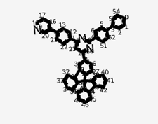 c1ccc(-c2ccc(-c3nc(-c4ccc(-c5cccnc5)cc4)cc(-c4ccc5c(c4)-c4ccccc4C54c5ccccc5-c5ccccc54)n3)cc2)cc1